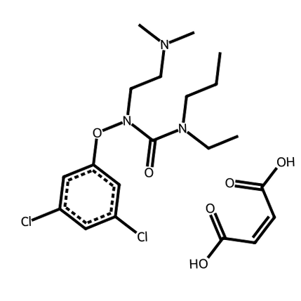 CCCN(CC)C(=O)N(CCN(C)C)Oc1cc(Cl)cc(Cl)c1.O=C(O)/C=C\C(=O)O